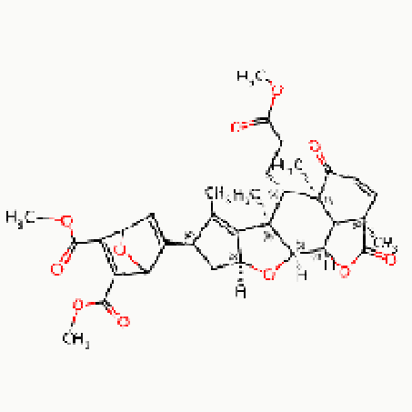 COC(=O)CC[C@H]1[C@]2(C)C3=C(C)[C@H](C4=CC5OC4C(C(=O)OC)=C5C(=O)OC)C[C@@H]3O[C@@H]2[C@@H]2OC(=O)[C@]3(C)C=CC(=O)[C@@]1(C)C23